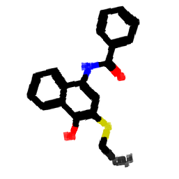 O=C(O)CSc1cc(NC(=O)c2ccccc2)c2ccccc2c1O